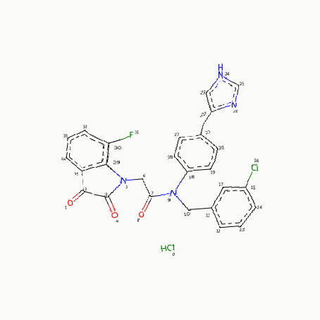 Cl.O=C1C(=O)N(CC(=O)N(Cc2cccc(Cl)c2)c2ccc(-c3c[nH]cn3)cc2)c2c(F)cccc21